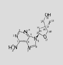 Nc1ncnc2c1ncn2[C@H]1C[C@@](F)(CO)CO1